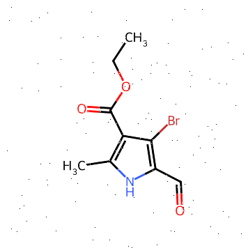 CCOC(=O)c1c(C)[nH]c(C=O)c1Br